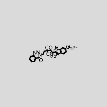 CCCOc1ccc2cc(C(=O)CC(CCn3nnc4ccccc4c3=O)(C(=O)O)C(=O)O)sc2c1